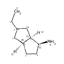 CCN1C[C@@H]2CC[C@H](N)[C@@H]2C1